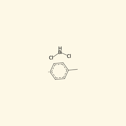 Cc1cc[c]cc1.[Cl][BiH][Cl]